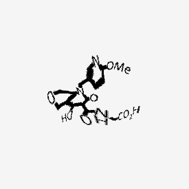 COc1ccc(Cn2c3c(c(O)c(C(=O)NCC(=O)O)c2=O)COC3)cn1